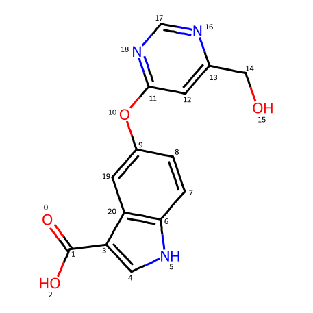 O=C(O)c1c[nH]c2ccc(Oc3cc(CO)ncn3)cc12